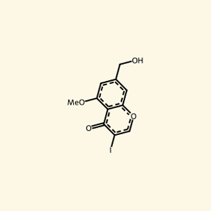 COc1cc(CO)cc2occ(I)c(=O)c12